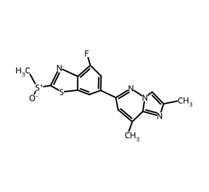 Cc1cn2nc(-c3cc(F)c4nc([S+](C)[O-])sc4c3)cc(C)c2n1